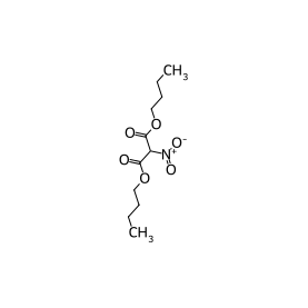 CCCCOC(=O)C(C(=O)OCCCC)[N+](=O)[O-]